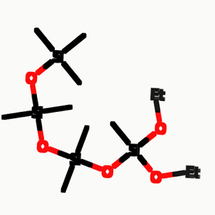 CCO[Si](C)(OCC)O[Si](C)(C)O[Si](C)(C)O[Si](C)(C)C